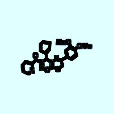 COc1ccc(C2=NN(C(NC(=O)c3ccccn3)c3ccccc3)C(=O)OC2)cc1OC